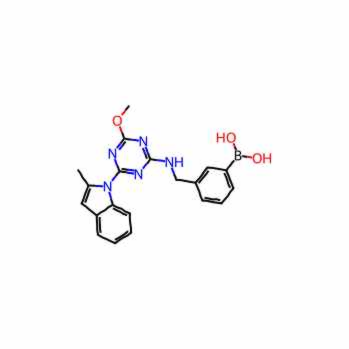 COc1nc(NCc2cccc(B(O)O)c2)nc(-n2c(C)cc3ccccc32)n1